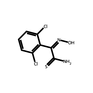 NC(=S)C(=NO)c1c(Cl)cccc1Cl